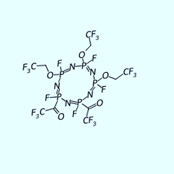 O=C(C(F)(F)F)P1(F)=NP(F)(OCC(F)(F)F)=NP(F)(OCC(F)(F)F)=NP(F)(OCC(F)(F)F)=NP(F)(C(=O)C(F)(F)F)=N1